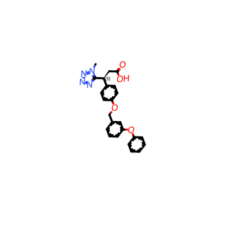 Cn1nnnc1[C@@H](CC(=O)O)c1ccc(OCc2cccc(Oc3ccccc3)c2)cc1